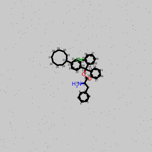 NC(Cc1ccccc1)C(=O)OC(c1ccccc1)(c1ccc(C2CCCCCCCC2)cc1)c1ccccc1Cl